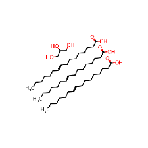 CCCCCCC=CCCCCCCCC(=O)O.CCCCCCC=CCCCCCCCC(=O)O.CCCCCCC=CCCCCCCCC(=O)O.OCC(O)CO